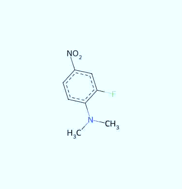 CN(C)c1ccc([N+](=O)[O-])cc1F